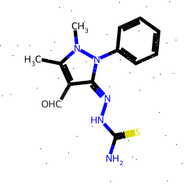 Cc1c(C=O)c(=NNC(N)=S)n(-c2ccccc2)n1C